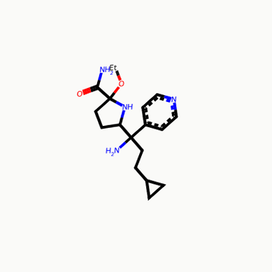 CCOC1(C(N)=O)CCC(C(N)(CCC2CC2)c2ccncc2)N1